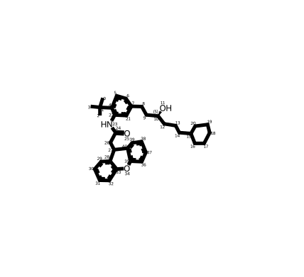 CC(C)(C)c1ccc(CC[C@@H](O)CCCC2CCCCC2)cc1NC(=O)CC1c2ccccc2Oc2ccccc21